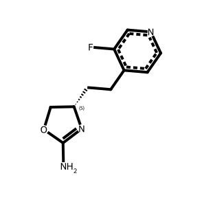 NC1=N[C@@H](CCc2ccncc2F)CO1